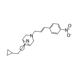 O=[N+]([O-])c1ccc(C=CCN2CC3CN(CC4CC4)CC(C2)C32CCCC2)cc1